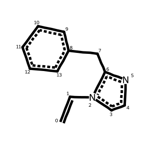 C=Cn1ccnc1Cc1ccccc1